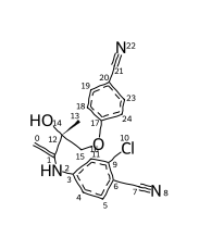 C=C(Nc1ccc(C#N)c(Cl)c1)[C@](C)(O)COc1ccc(C#N)cc1